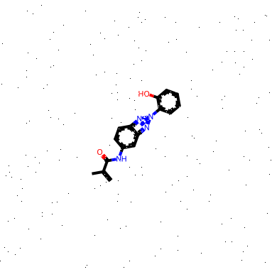 C=C(C)C(=O)Nc1ccc2c(c1)n1n(-c3ccccc3O)n21